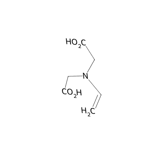 C=CN(CC(=O)O)CC(=O)O